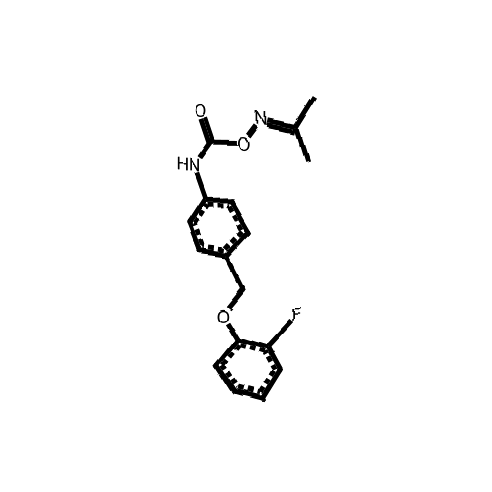 CC(C)=NOC(=O)Nc1ccc(COc2ccccc2F)cc1